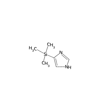 C[Si](C)(C)c1c[nH]cn1